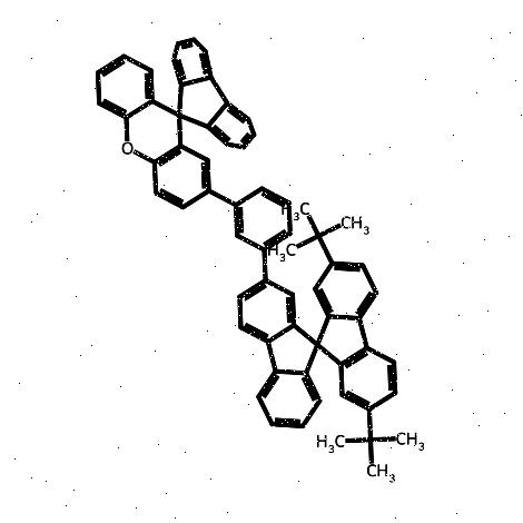 CC(C)(C)c1ccc2c(c1)C1(c3ccccc3-c3ccc(-c4cccc(-c5ccc6c(c5)C5(c7ccccc7O6)c6ccccc6-c6ccccc65)c4)cc31)c1cc(C(C)(C)C)ccc1-2